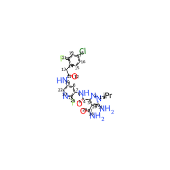 CC(C)n1nc(C(=O)Nc2cc(NC(=O)Cc3ccc(Cl)cc3F)cnc2F)c(C(N)=O)c1N